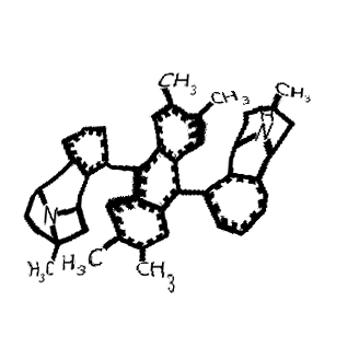 Cc1cc2c(-c3cccc4c3C3CC(C)CC4N3)c3cc(C)c(C)cc3c(-c3cccc4c3C3CC5(C)CC4N35)c2cc1C